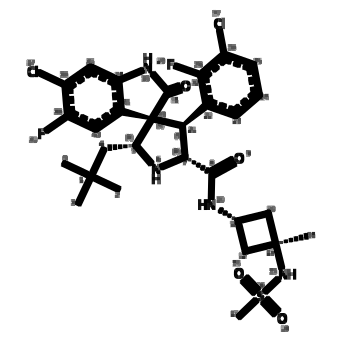 CC(C)(C)C[C@H]1N[C@@H](C(=O)N[C@H]2C[C@](C)(NS(C)(=O)=O)C2)[C@H](c2cccc(Cl)c2F)[C@@]12C(=O)Nc1cc(Cl)c(F)cc12